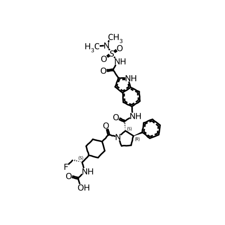 CN(C)S(=O)(=O)NC(=O)c1cc2cc(NC(=O)[C@@H]3[C@@H](c4ccccc4)CCN3C(=O)C3CCC([C@@H](CF)NC(=O)O)CC3)ccc2[nH]1